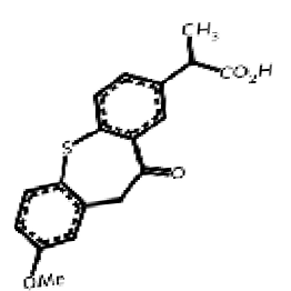 COc1ccc2c(c1)CC(=O)c1cc(C(C)C(=O)O)ccc1S2